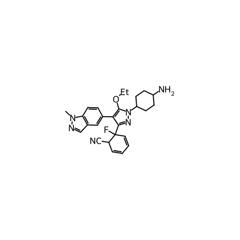 CCOc1c(-c2ccc3c(cnn3C)c2)c(C2(F)C=CC=CC2C#N)nn1C1CCC(N)CC1